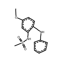 COc1ccc(Nc2ccccc2)c(NS(C)(=O)=O)c1